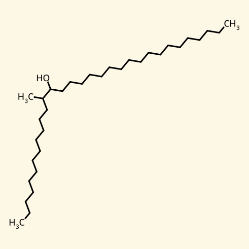 CCCCCCCCCCCCCCCCCCC(O)C(C)CCCCCCCCCCCC